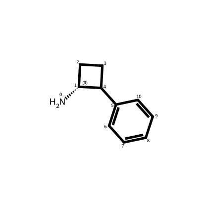 N[C@@H]1CCC1c1ccccc1